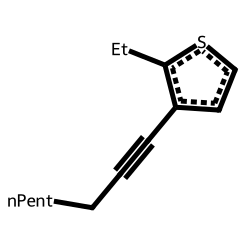 CCCCCCC#Cc1ccsc1CC